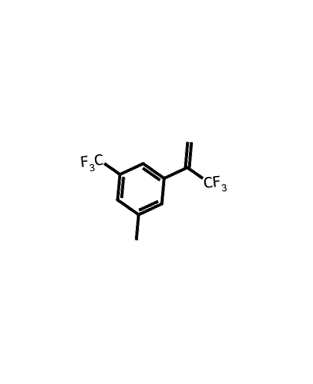 C=C(c1cc(C)cc(C(F)(F)F)c1)C(F)(F)F